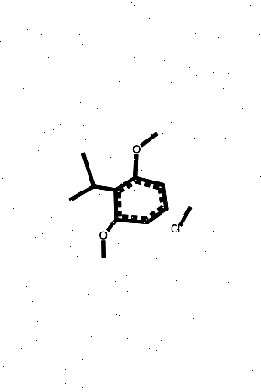 CCl.COc1cccc(OC)c1C(C)C